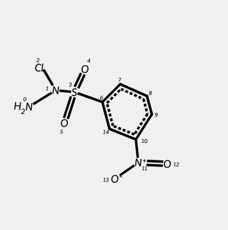 NN(Cl)S(=O)(=O)c1cccc([N+](=O)[O-])c1